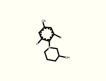 N#Cc1cc(F)c(N2CCCC(O)C2)c(F)c1